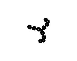 c1ccc(-c2ccc(-c3ccc(N(c4ccc(-c5ccc6ccc7ccccc7c6c5)cc4)c4ccc(-c5ccc6ccc7ccccc7c6c5)cc4)cc3)cc2)cc1